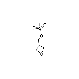 O=[SH](=O)OCC1COC1